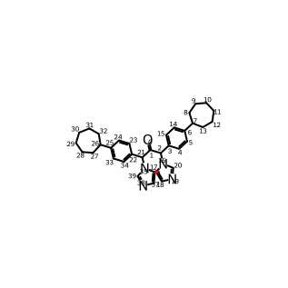 O=C(C(c1ccc(C2CCCCCC2)cc1)n1ccnc1)C(c1ccc(C2CCCCCC2)cc1)n1ccnc1